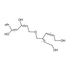 CCC/C(O)=C\C(O)=C/COCC(/C=C\CO)=C/CO